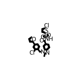 Cc1nc2ccc(C(=O)NS(=O)(=O)c3ccc(Cl)s3)cc2n1Cc1ccc(-c2ccco2)cc1Cl